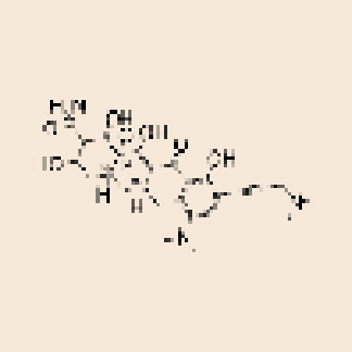 CN(C)CC#Cc1cc(N(C)C)c2c(c1O)C(=O)C1=C(O)[C@]3(O)C(=O)C(C(N)=O)C(O)C[C@@H]3C[C@@H]1C2